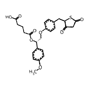 COc1ccc([C@@H](COc2ccc(CC3SC(=O)CC3=O)cc2)OC(=O)CCCC(=O)O)cc1